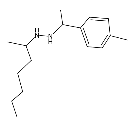 CCCCCC(C)NNC(C)c1ccc(C)cc1